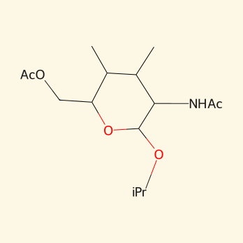 CC(=O)NC1C(OC(C)C)OC(COC(C)=O)C(C)C1C